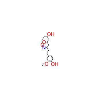 CCOc1cc(CCC(CC2CC(O)CCO2)N=O)ccc1O